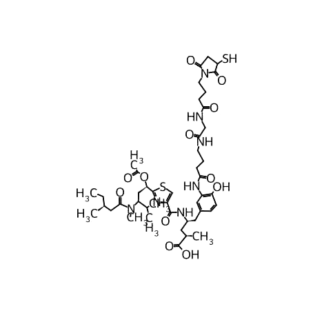 CC[C@H](C)CC(=O)N(C)C(C[C@@H](OC(C)=O)c1nc(C(=O)N[C@@H](Cc2ccc(O)c(NC(=O)CCCNC(=O)CNC(=O)CCCN3C(=O)CC(S)C3=O)c2)C[C@@H](C)C(=O)O)cs1)C(C)C